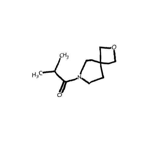 CC(C)C(=O)N1CCC2(COC2)C1